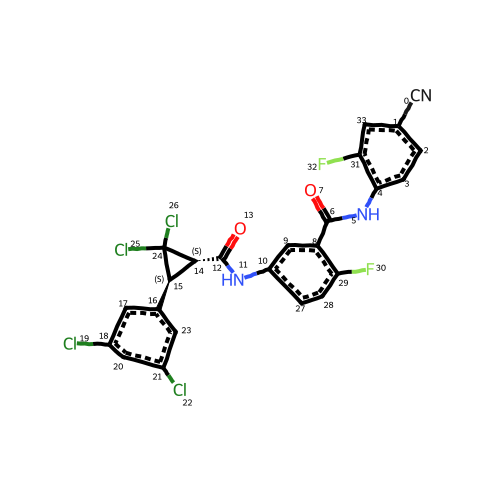 N#Cc1ccc(NC(=O)c2cc(NC(=O)[C@@H]3[C@@H](c4cc(Cl)cc(Cl)c4)C3(Cl)Cl)ccc2F)c(F)c1